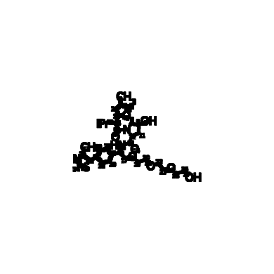 Cc1cc(C(C(=O)N2C[C@H](O)C[C@H]2C(=O)NC(COCCOCCOCCO)c2ccc(-c3scnc3C)cc2)C(C)C)on1